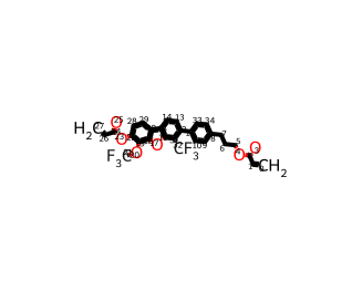 C=CC(=O)OCCCc1ccc(-c2ccc3c(oc4c(OC(F)(F)F)c(OC(=O)C=C)ccc43)c2C(F)(F)F)cc1